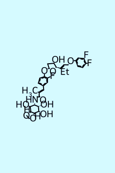 CC/C(=C\COc1ccc(F)c(F)c1)[C@H]1O[C@@H](Oc2ccc(/C=C(\C)C(=O)N[C@@H]3[C@H](O)[C@@H](O)[C@H]4OCO[C@H]4[C@@H]3O)cc2F)C[C@@H]1O